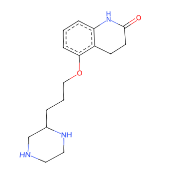 O=C1CCc2c(cccc2OCCCC2CNCCN2)N1